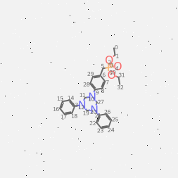 CCOP(=O)(Cc1ccc(N2CN(c3ccccc3)CN(c3ccccc3)C2)cc1)OCC